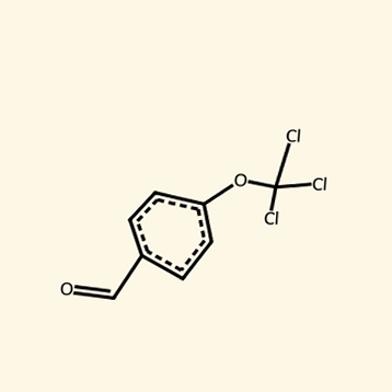 O=Cc1ccc(OC(Cl)(Cl)Cl)cc1